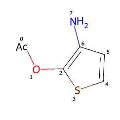 CC(=O)Oc1sccc1N